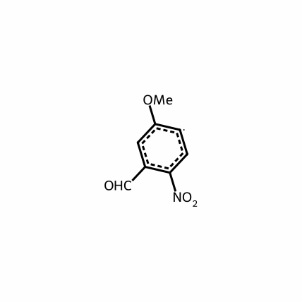 COc1[c]cc([N+](=O)[O-])c(C=O)c1